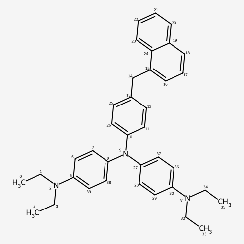 CCN(CC)c1ccc(N(c2ccc(Cc3cccc4ccccc34)cc2)c2ccc(N(CC)CC)cc2)cc1